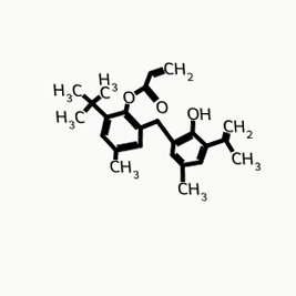 C=CC(=O)Oc1c(Cc2cc(C)cc(C(=C)C)c2O)cc(C)cc1C(C)(C)C